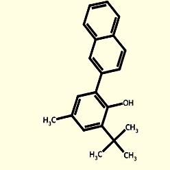 Cc1cc(-c2ccc3ccccc3c2)c(O)c(C(C)(C)C)c1